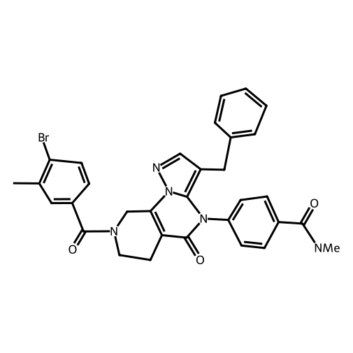 CNC(=O)c1ccc(-n2c(=O)c3c(n4ncc(Cc5ccccc5)c24)CN(C(=O)c2ccc(Br)c(C)c2)CC3)cc1